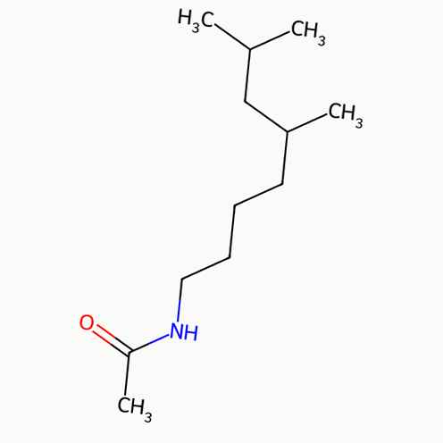 CC(=O)NCCCCC(C)CC(C)C